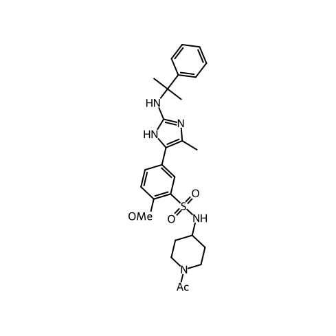 COc1ccc(-c2[nH]c(NC(C)(C)c3ccccc3)nc2C)cc1S(=O)(=O)NC1CCN(C(C)=O)CC1